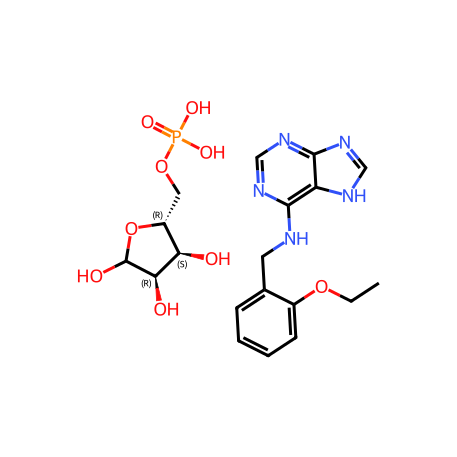 CCOc1ccccc1CNc1ncnc2nc[nH]c12.O=P(O)(O)OC[C@H]1OC(O)[C@H](O)[C@@H]1O